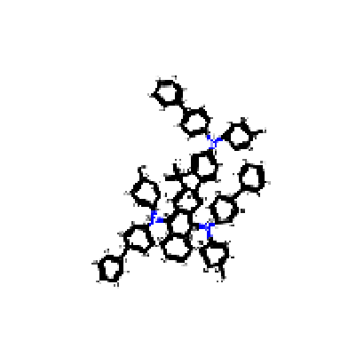 Cc1ccc(N(c2ccc(-c3ccccc3)cc2)c2ccc3c(c2)C(C)(C)c2cc4c(N(c5ccc(C)cc5)c5ccc(-c6ccccc6)cc5)c5ccccc5c(N(c5ccc(C)cc5)c5ccc(-c6ccccc6)cc5)c4cc2-3)cc1